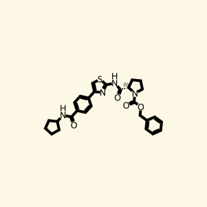 O=C(NC1CCCC1)c1ccc(-c2csc(NC(=O)[C@@H]3CCCN3C(=O)OCc3ccccc3)n2)cc1